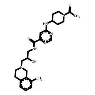 CC(=O)N1CCC(Nc2cc(C(=O)NCC(O)CN3CCc4cccc(C)c4C3)ncn2)CC1